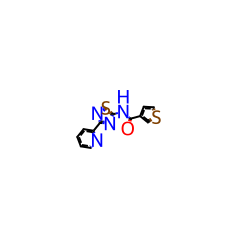 O=C(Nc1nc(-c2ccccn2)ns1)c1ccsc1